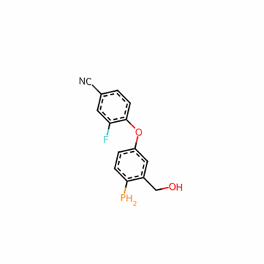 N#Cc1ccc(Oc2ccc(P)c(CO)c2)c(F)c1